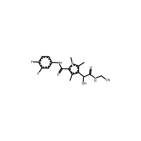 Cc1c(C(O)C(=O)NCC#N)c(C)n(C)c1C(=O)Nc1ccc(F)c(F)c1